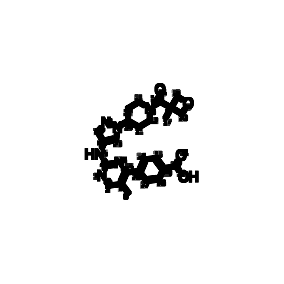 Cc1cnc(Nc2cnn(C3CCN(C(=O)C4(C)COC4)CC3)c2)nc1-c1ccc(C(=O)O)cc1